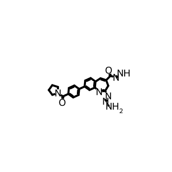 N=NC(=O)C1=Cc2ccc(-c3ccc(C(=O)N4CCCC4)cc3)cc2N=C(N=NN)C1